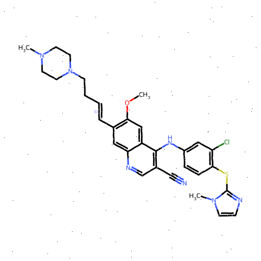 COc1cc2c(Nc3ccc(Sc4nccn4C)c(Cl)c3)c(C#N)cnc2cc1/C=C/CCN1CCN(C)CC1